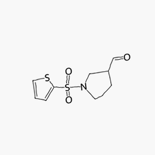 O=CC1CCCN(S(=O)(=O)c2cccs2)C1